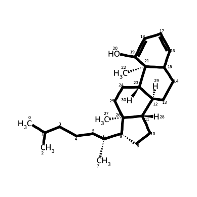 CC(C)CCC[C@@H](C)[C@H]1CC[C@H]2[C@@H]3CCC4C=CC=C(O)[C@]4(C)[C@H]3CC[C@]12C